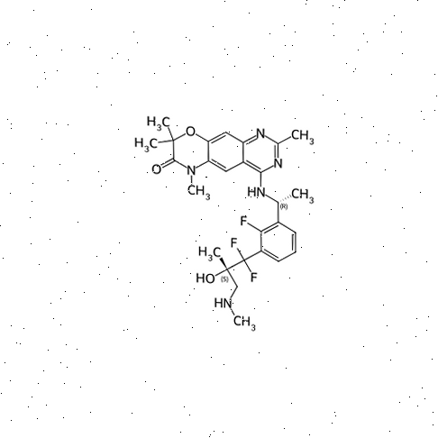 CNC[C@](C)(O)C(F)(F)c1cccc([C@@H](C)Nc2nc(C)nc3cc4c(cc23)N(C)C(=O)C(C)(C)O4)c1F